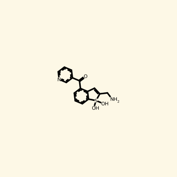 NCC1=Cc2c(C(=O)c3cccnc3)cccc2S1(O)O